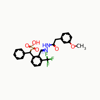 COc1cccc(CC(=O)N/N=C/c2c(C(c3ccccc3)S(=O)(=O)O)cccc2C(F)(F)F)c1